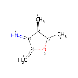 C=C1OC(C)[C@H](C)C1=N